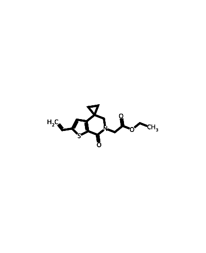 C=Cc1cc2c(s1)C(=O)N(CC(=O)OCC)CC21CC1